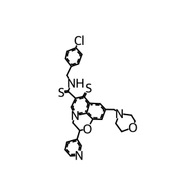 S=C(NCc1ccc(Cl)cc1)c1cn2c3c(cc(CN4CCOCC4)cc3c1=S)OC(c1cccnc1)C2